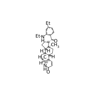 CCNc1cc(CC)ccc1C(=O)[C@H]1CC[C@H]2[C@@H]3CC[C@H]4NC(=O)C=C[C@]4(C)[C@H]3CC[C@]12C